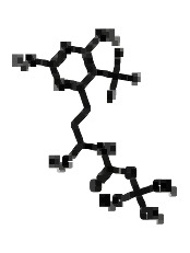 CC(CCc1nc(N)nc(N)c1C(F)(F)F)NC(=O)OC(C)(C)C